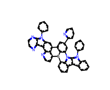 c1ccc(-n2c3cc4c5c(ccnc5c3c3nccnc32)B2c3c-4cc(-c4ccccn4)cc3-n3c4c2cccc4c2c4ccccc4n(-c4ccccc4)c23)cc1